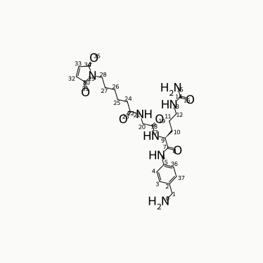 NCc1ccc(NC(=O)[C@H](CCCNC(N)=O)NC(=O)CNC(=O)CCCCCN2C(=O)C=CC2=O)cc1